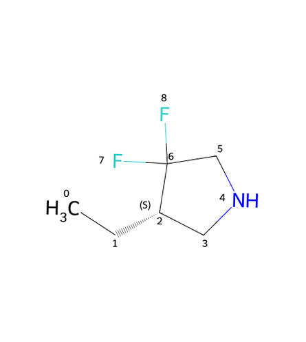 CC[C@H]1CNCC1(F)F